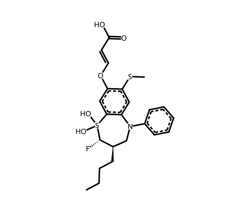 CCCC[C@@H]1CN(c2ccccc2)c2cc(SC)c(O/C=C/C(=O)O)cc2S(O)(O)[C@H]1F